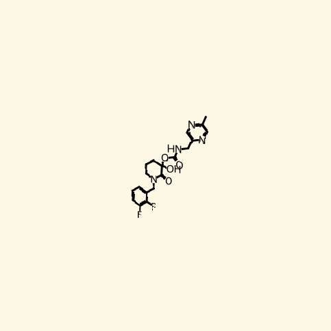 Cc1cnc(CNC(=O)OC2(O)CCCN(Cc3cccc(F)c3F)C2=O)cn1